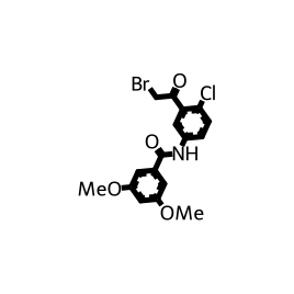 COc1cc(OC)cc(C(=O)Nc2ccc(Cl)c(C(=O)CBr)c2)c1